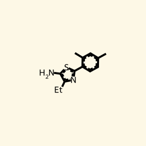 CCc1nc(-c2ccc(C)cc2C)sc1N